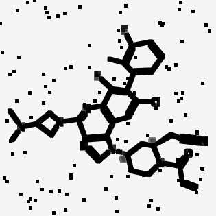 C=CC(=O)N1CC[C@H](n2cnc3c(N4CC(N(C)C)C4)nc4c(F)c(-c5cccc(F)c5C)c(Cl)cc4c32)C[C@H]1CC#N